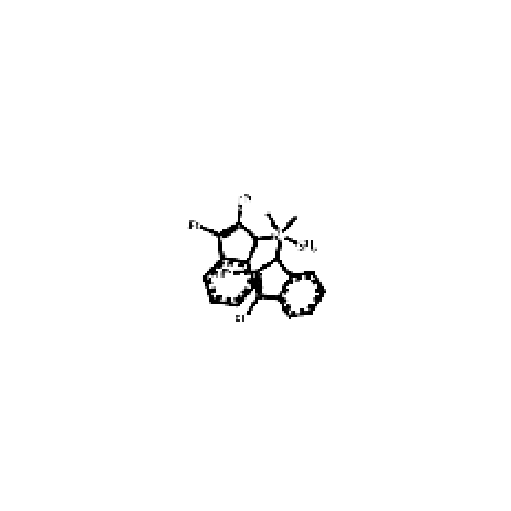 CCCC1=C(CC)c2ccccc2[CH]1[Zr]([CH3])([CH3])([SiH3])[CH]1C(CCC)=C(CC)c2ccccc21